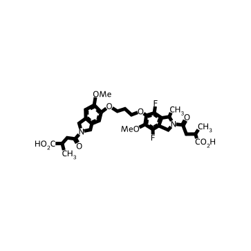 COc1cc2c(cc1OCCCOc1c(F)c3c(c(F)c1OC)CN(C(=O)CC(C)C(=O)O)C3C)CN(C(=O)CC(C)C(=O)O)C2